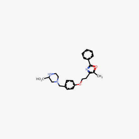 Cc1oc(-c2ccccc2)nc1CCOc1ccc(CN2CCNC(C(=O)O)C2)cc1